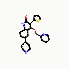 O=c1[nH]c2ccc(-c3ccncc3)cc2c(OCc2ccccn2)c1-c1cccs1